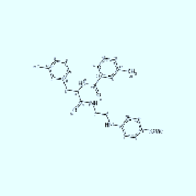 COc1ccc(NCCNC(=O)C(Cc2cccc(F)c2)NC(=O)c2cccc(C)c2)cc1